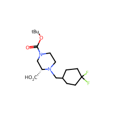 CC(C)(C)OC(=O)N1CCN(CC2CCC(F)(F)CC2)[C@H](C(=O)O)C1